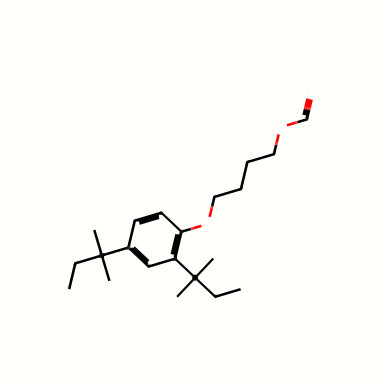 CCC(C)(C)c1ccc(OCCCCOC=O)c(C(C)(C)CC)c1